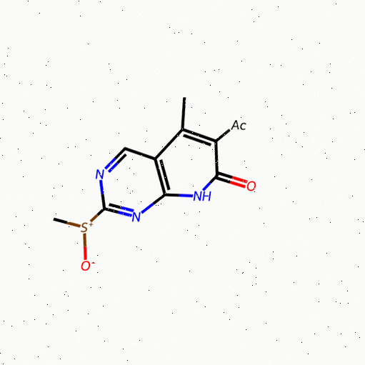 CC(=O)c1c(C)c2cnc([S+](C)[O-])nc2[nH]c1=O